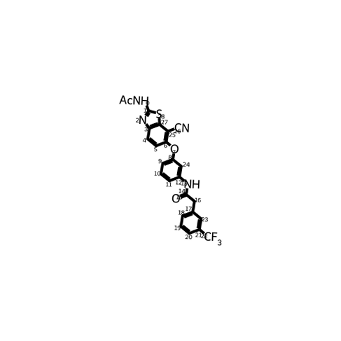 CC(=O)Nc1nc2ccc(Oc3cccc(NC(=O)Cc4cccc(C(F)(F)F)c4)c3)c(C#N)c2s1